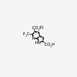 CCOC(=O)c1cc2cc(C(=O)O)[nH]c2nc1C(F)(F)F